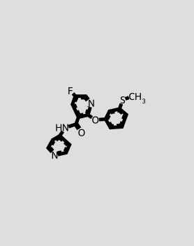 CSc1cccc(Oc2ncc(F)cc2C(=O)Nc2ccncc2)c1